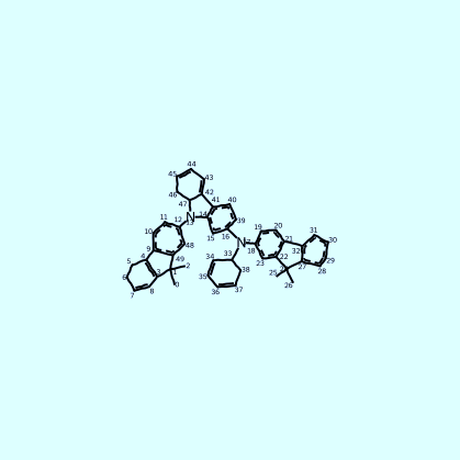 CC1(C)C2=C(CCC=C2)c2ccc(N3c4cc(N(c5ccc6c(c5)C(C)(C)c5ccccc5-6)C5C=CC=CC5)ccc4C4=CC=CCC43)cc21